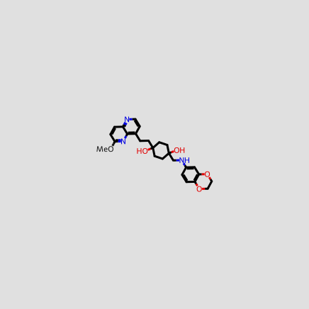 COc1ccc2nccc(CCC3(O)CCC(O)(CNc4ccc5c(c4)OCCO5)CC3)c2n1